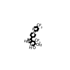 O=C1Nc2[nH]nc(C3CCN(c4ccc(C(F)(F)F)cn4)CC3)c2[C@H](C(F)(F)F)[C@@H]1O